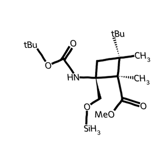 COC(=O)[C@@]1(C)[C@](CO[SiH3])(NC(=O)OC(C)(C)C)C[C@]1(C)C(C)(C)C